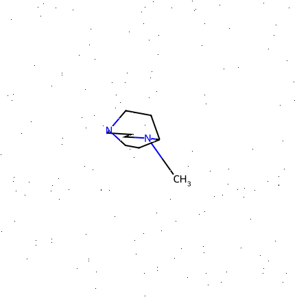 CN1CCCN2CCC1CC2